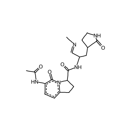 CN=CC(CC1CCNC1=O)NC(=O)C1CCc2ccc(NC(C)=O)c(=O)n21